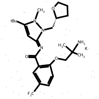 Cn1c(C(C)(C)C)cc(=NC(=O)c2cc(C(F)(F)F)ccc2OCC(C)(C)N)n1C[C@H]1CCCO1.[K]